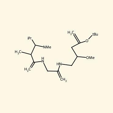 C=C(CNC(=C)C(C)C(NC)C(C)C)NCC(CC(=C)OC(C)(C)C)OC